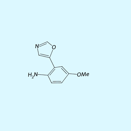 COc1ccc(N)c(-c2cnco2)c1